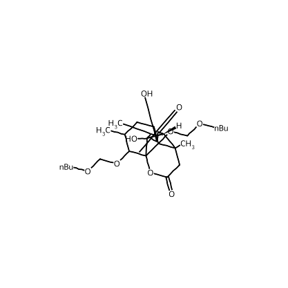 CCCCOCOC1C(C)CCC2(OCOCCCC)C3(C)CC(=O)OC12C1(O)C(C)=C(O)C(=O)[C@H]31